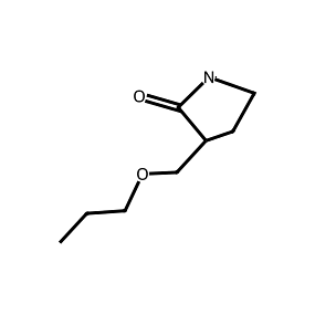 CCCOCC1CC[N]C1=O